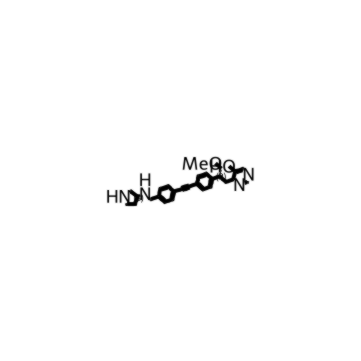 COC[C@H](Cc1ncncc1O)c1ccc(C#Cc2ccc(CN[C@H]3CCNC3)cc2)cc1